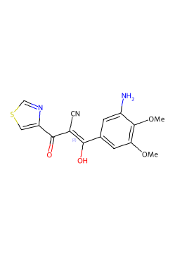 COc1cc(/C(O)=C(\C#N)C(=O)c2cscn2)cc(N)c1OC